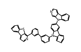 c1cc(-c2cccc(-n3c4ccccc4c4cc(-n5c6ccccc6c6ccncc65)ccc43)c2)cc(-c2nccc3c2sc2ccccc23)c1